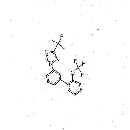 CC(C)(F)c1ncn(-c2cccc(-c3ccccc3OC(F)(F)F)c2)n1